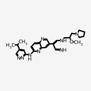 COC(CN/C=C(\C=N)c1cnc2ccc(Nc3cc(C(C)C)cnn3)nc2c1)CN1CCCC1